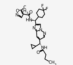 CCCC(=O)N[C@@H](c1cnn2cc([C@@H](NC(=O)c3cnoc3C)C3CCC(F)(F)CC3)nc2c1)C1CC1